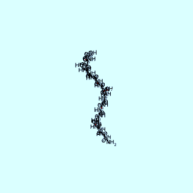 NCC(=O)NCC(=O)NCC(=O)NCC(=O)N[C@@H](CO)C(=O)NCC(=O)NCC(=O)NCC(=O)NCC(=O)NCC(=O)N[C@@H](CO)C(=O)NCC(=O)NCC(=O)NCC(=O)NCC(=O)NCC(=O)N[C@@H](CO)C(=O)NCC(=O)N[C@@H](CO)C(=O)O